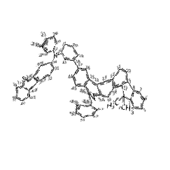 CC1(C)c2ccccc2-c2ccc3cc4c5cc(-c6cccc(N(c7ccccc7)c7ccc8c(c7)sc7ccccc78)c6)ccc5n(-c5ccccc5)c4cc3c21